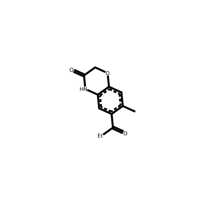 CCC(=O)c1cc2c(cc1C)OCC(=O)N2